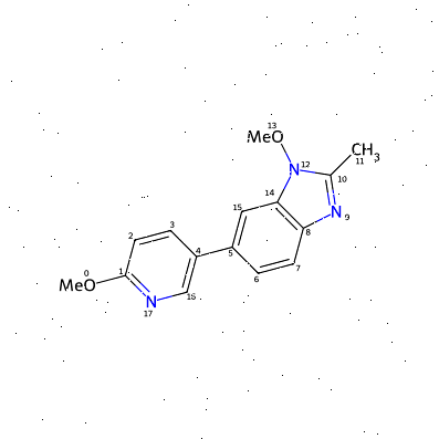 COc1ccc(-c2ccc3nc(C)n(OC)c3c2)cn1